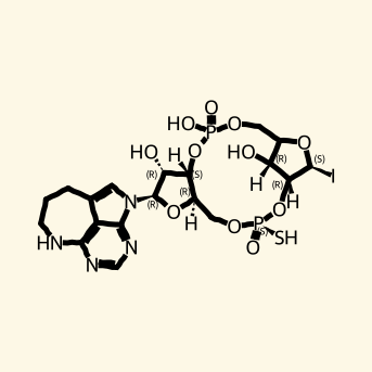 O=P1(O)OCC2O[C@@H](I)[C@H](O[P@@](=O)(S)OC[C@H]3O[C@@H](n4cc5c6c(ncnc64)NCCC5)[C@H](O)[C@@H]3O1)[C@@H]2O